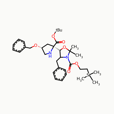 CC(C)(C)OC(=O)[C@]1(C2OC(C)(C)N(C(=O)OCC[Si](C)(C)C)C2Cc2ccccc2)C[C@@H](OCc2ccccc2)CN1